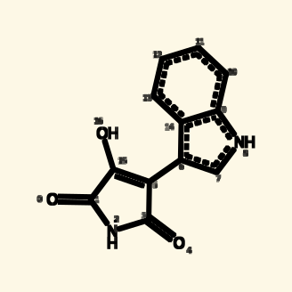 O=C1NC(=O)C(c2c[nH]c3ccccc23)=C1O